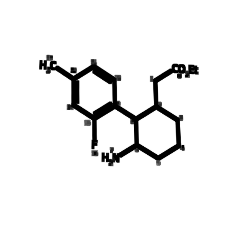 CCOC(=O)CC1CCCC(N)C1c1ccc(C)cc1F